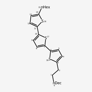 CCCCCCCCCCCCc1ccc(-c2ccc(-c3ccc(CCCCCC)s3)s2)s1